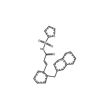 O=C(C=Cc1ccccc1Cc1ccc2ccccc2c1)NS(=O)(=O)c1cccs1